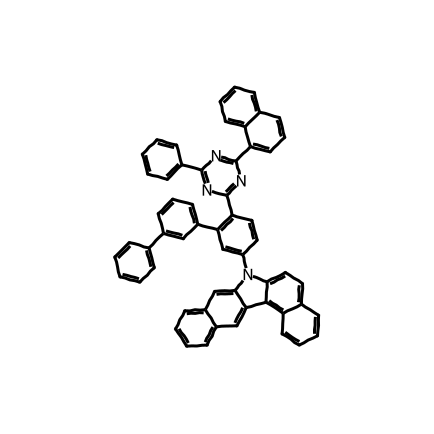 c1ccc(-c2cccc(-c3cc(-n4c5cc6ccccc6cc5c5c6ccccc6ccc54)ccc3-c3nc(-c4ccccc4)nc(-c4cccc5ccccc45)n3)c2)cc1